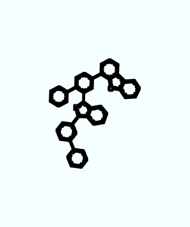 c1ccc(-c2cccc(-c3sc(-c4cc(-c5cccc6c5oc5ccccc56)ccc4-c4ccccc4)c4ccccc34)c2)cc1